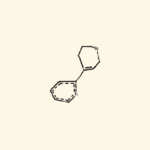 C1=C(c2ccccn2)CC[N]C1